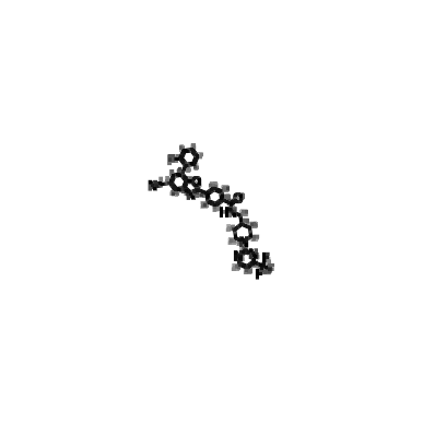 N#Cc1cc(-c2ccccc2F)c2oc(-c3ccc(C(=O)NCC4CCN(c5nccc(C(F)(F)F)n5)CC4)cc3)nc2c1